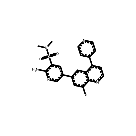 CN(C)S(=O)(=O)c1cc(-c2cc(F)c3nccc(-c4ccncc4)c3c2)cnc1N